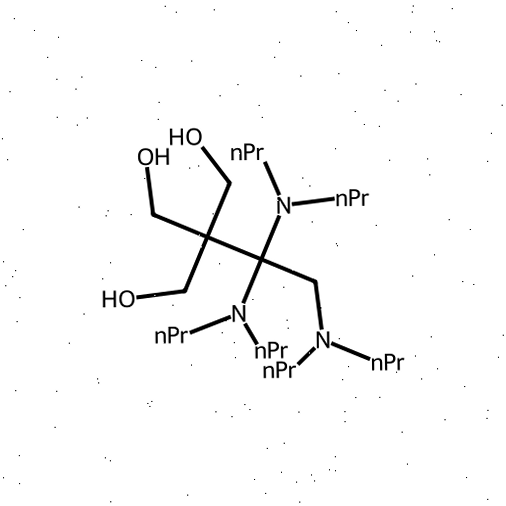 CCCN(CCC)CC(N(CCC)CCC)(N(CCC)CCC)C(CO)(CO)CO